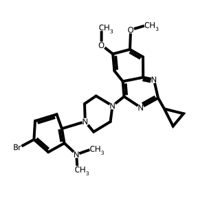 COc1cc2nc(C3CC3)nc(N3CCN(c4ccc(Br)cc4N(C)C)CC3)c2cc1OC